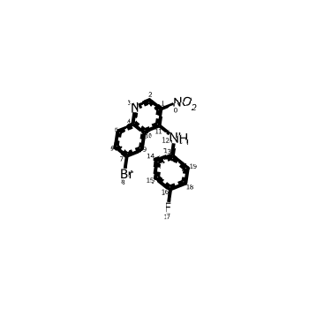 O=[N+]([O-])c1cnc2ccc(Br)cc2c1Nc1ccc(F)cc1